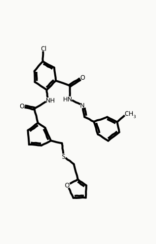 Cc1cccc(C=NNC(=O)c2cc(Cl)ccc2NC(=O)c2cccc(CSCc3ccco3)c2)c1